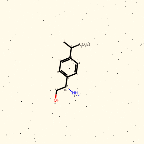 CCOC(=O)C(C)c1ccc([C@H](N)CO)cc1